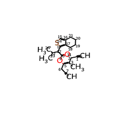 C#CCC(C)=C(CC#C)OC(=O)C(c1scc2c1CCCC2)C(C)C